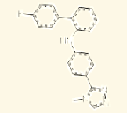 Cn1cnnc1-c1ccc(Nc2ccccc2-c2ccc(F)cc2)cc1